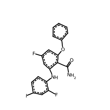 NC(=O)c1c(Nc2ccc(I)cc2F)cc(F)cc1Oc1ccccc1